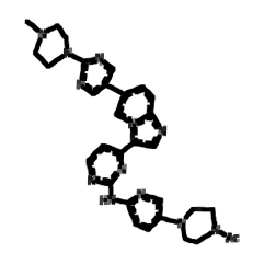 CC(=O)N1CCN(c2ccc(Nc3nccc(-c4cnc5ccc(-c6cnc(N7CCN(C)CC7)nc6)cn45)n3)nc2)CC1